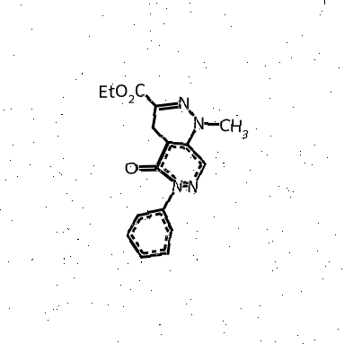 CCOC(=O)C1=NN(C)c2cnn(-c3ccccc3)c(=O)c2C1